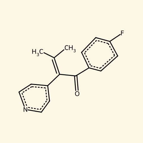 CC(C)=C(C(=O)c1ccc(F)cc1)c1ccncc1